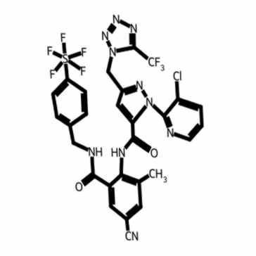 Cc1cc(C#N)cc(C(=O)NCc2ccc(S(F)(F)(F)(F)F)cc2)c1NC(=O)c1cc(Cn2nnnc2C(F)(F)F)nn1-c1ncccc1Cl